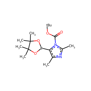 Cc1nc(C)n(C(=O)OC(C)(C)C)c1B1OC(C)(C)C(C)(C)O1